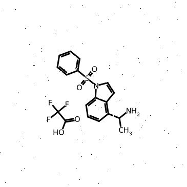 CC(N)c1cccc2c1ccn2S(=O)(=O)c1ccccc1.O=C(O)C(F)(F)F